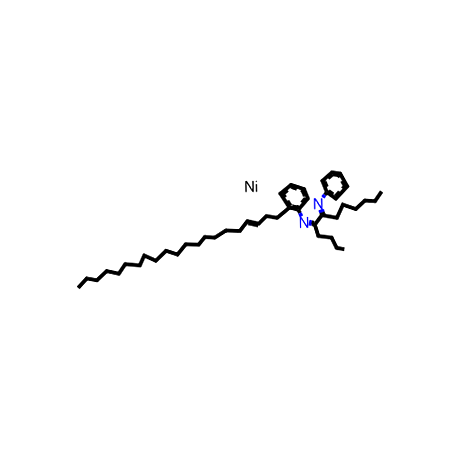 CCCCCCCCCCCCCCCCCC=CCCc1ccccc1N=C(CCCC)C(CCCCCC)=Nc1ccccc1.[Ni]